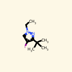 CCn1cc(I)c(C(C)(C)C)n1